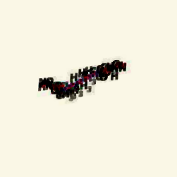 CC1=C(/C=C/C(C)=C/C=C/C(C)=C/C=C/C=C(C)/C=C/C=C(C)/C=C/C2=C(C)C(=O)[C@@H](OC(=O)CCNC(=O)n3ccnc3)CC2(C)C)C(C)(C)C[C@H](OC(=O)CCNC(=O)n2ccnc2)C1=O